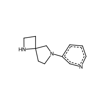 c1cncc(N2CCC3(CCN3)C2)c1